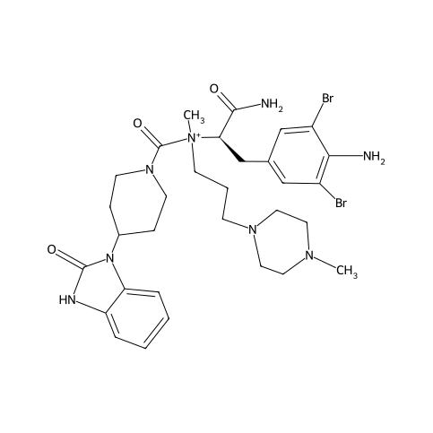 CN1CCN(CCC[N+](C)(C(=O)N2CCC(n3c(=O)[nH]c4ccccc43)CC2)[C@H](Cc2cc(Br)c(N)c(Br)c2)C(N)=O)CC1